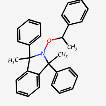 CC(ON1C(C)(c2ccccc2)c2ccccc2C1(C)c1ccccc1)c1ccccc1